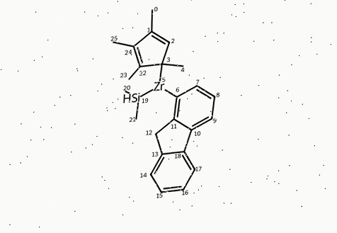 CC1=C[C](C)([Zr]([c]2cccc3c2Cc2ccccc2-3)[SiH](C)C)C(C)=C1C